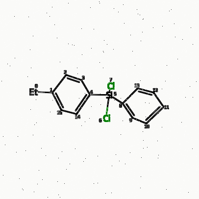 CCc1ccc([Si](Cl)(Cl)c2ccccc2)cc1